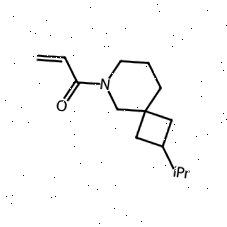 C=CC(=O)N1CCCC2(CC(C(C)C)C2)C1